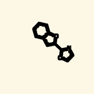 c1ccc2oc(-c3ncco3)cc2c1